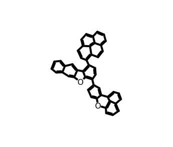 c1ccc2cc3c(cc2c1)oc1c(-c2ccc4c(c2)-c2cccc5cccc(c25)O4)ccc(-c2ccc4ccc5cccc6ccc2c4c56)c13